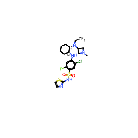 CN1CC(N(CC(F)(F)F)[C@H]2CCCC[C@@H]2Nc2cc(F)c(S(=O)(=O)Nc3nccs3)cc2Cl)C1